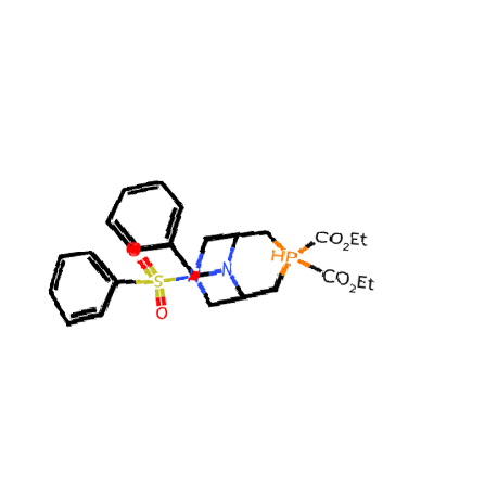 CCOC(=O)[PH]1(C(=O)OCC)CC2CN(S(=O)(=O)c3ccccc3)CC(C1)N2Cc1ccccc1